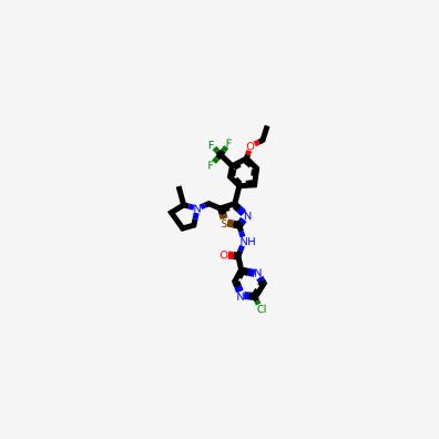 CCOc1ccc(-c2nc(NC(=O)c3cnc(Cl)cn3)sc2CN2CCCC2C)cc1C(F)(F)F